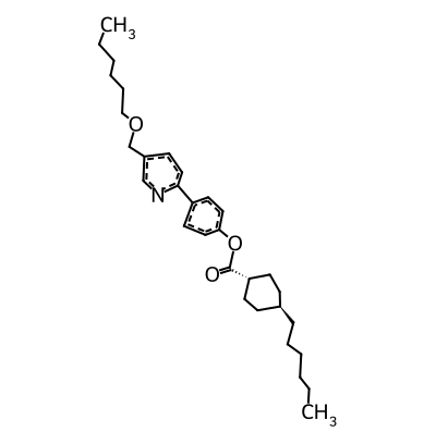 CCCCCCOCc1ccc(-c2ccc(OC(=O)[C@H]3CC[C@H](CCCCCC)CC3)cc2)nc1